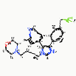 FCc1ccc(-c2ncn(CCCN3CCOCC3)c2-c2ccncc2)cc1